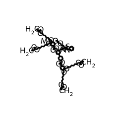 C=CC(=O)OCCCCCCOc1ccc(C(=O)Oc2ccc(C3CCC(OC(=O)c4ccc(OCCCCCCOC(=O)C=C)c(OCCCCCCOC(=O)C=C)c4)CC3)cc2/C=N/N(CCOCCOC)c2nc3ccccc3s2)cc1OCCCCCCOC(=O)C=C